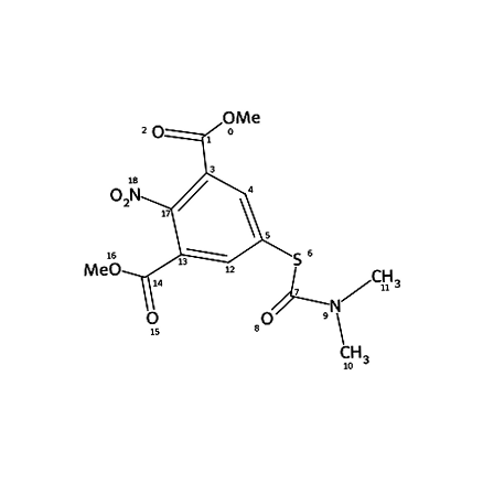 COC(=O)c1cc(SC(=O)N(C)C)cc(C(=O)OC)c1[N+](=O)[O-]